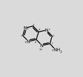 Nc1cnc2cncnc2n1